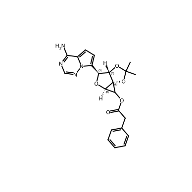 CC1(C)O[C@H]2[C@H](c3ccc4c(N)ncnn34)O[C@@H]3C(OC(=O)Cc4ccccc4)[C@@]32O1